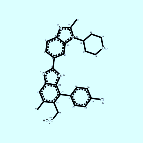 Cc1cc2nc(-c3ccc4nc(C)n(C5CCOCC5)c4c3)sc2c(-c2ccc(Cl)cc2)c1CC(=O)O